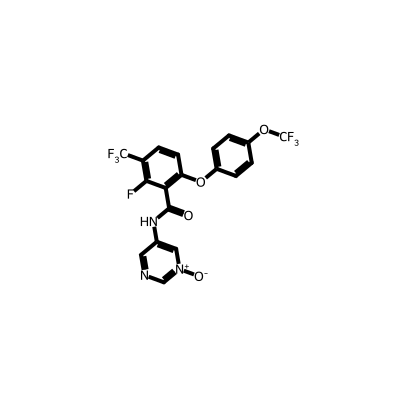 O=C(Nc1cnc[n+]([O-])c1)c1c(Oc2ccc(OC(F)(F)F)cc2)ccc(C(F)(F)F)c1F